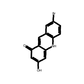 O=c1cc(O)cc2[nH]c3ccc(Br)cc3cc1-2